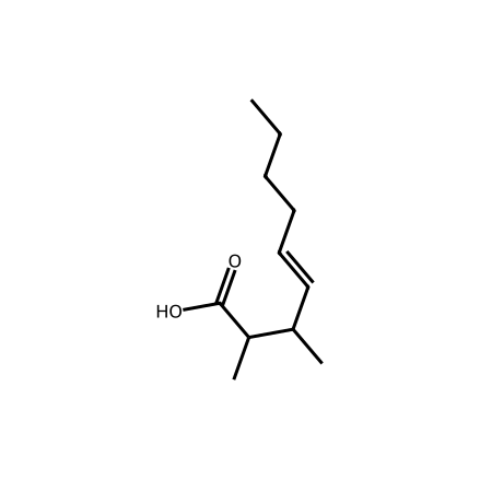 CCCCC=CC(C)C(C)C(=O)O